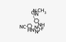 Cc1noc(Cc2ccc(Nc3nc(Nc4cccc(C#N)c4)ncc3F)cc2)n1